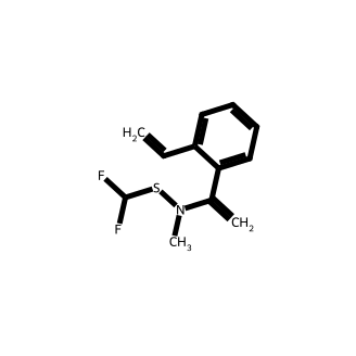 C=Cc1ccccc1C(=C)N(C)SC(F)F